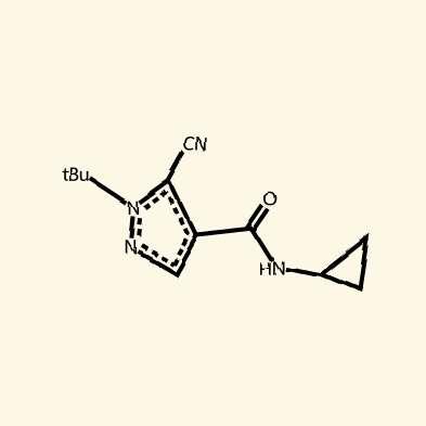 CC(C)(C)n1ncc(C(=O)NC2CC2)c1C#N